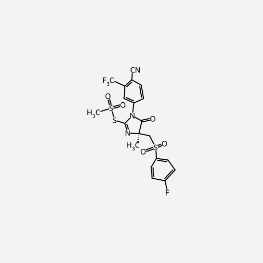 C[C@]1(CS(=O)(=O)c2ccc(F)cc2)N=C(SS(C)(=O)=O)N(c2ccc(C#N)c(C(F)(F)F)c2)C1=O